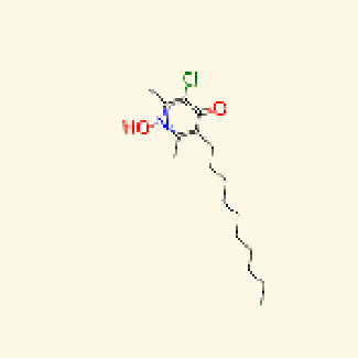 CCCCCCCCCCc1c(C)n(O)c(C)c(Cl)c1=O